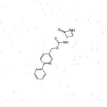 O=C(N[C@H]1CNC1=O)OCc1ccc(-c2ccccc2)nc1